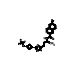 C=C(CCc1nnc([C@H]2C[C@@H](OC(F)(F)F)C2)o1)NC(=O)c1cc2ccc(Br)cc2cn1